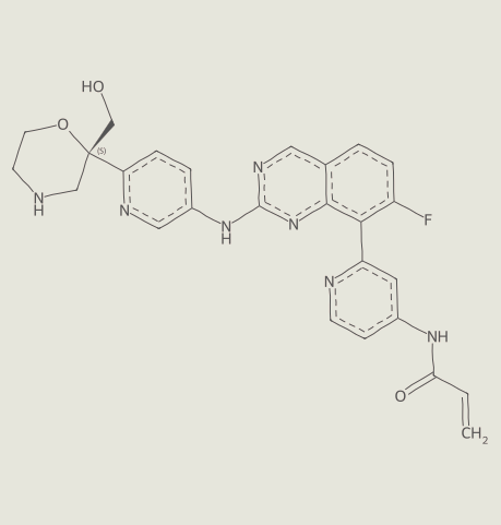 C=CC(=O)Nc1ccnc(-c2c(F)ccc3cnc(Nc4ccc([C@]5(CO)CNCCO5)nc4)nc23)c1